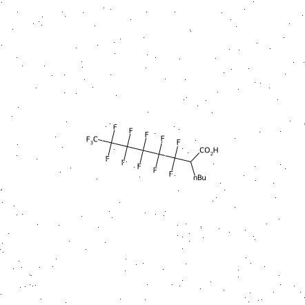 CCCCC(C(=O)O)C(F)(F)C(F)(F)C(F)(F)C(F)(F)C(F)(F)C(F)(F)F